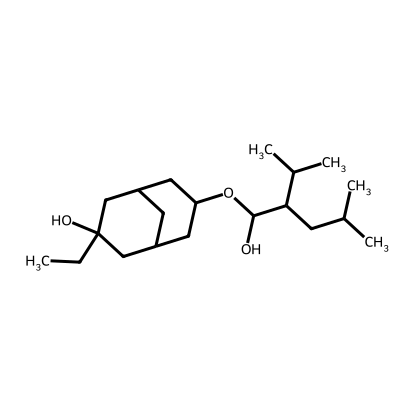 CCC1(O)CC2CC(CC(OC(O)C(CC(C)C)C(C)C)C2)C1